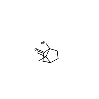 [CH2]CCC12CCC(CC1=O)C2(C)C